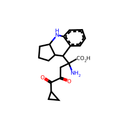 NC(CC(=O)C(=O)C1CC1)(C(=O)O)C1c2ccccc2NC2CCCC21